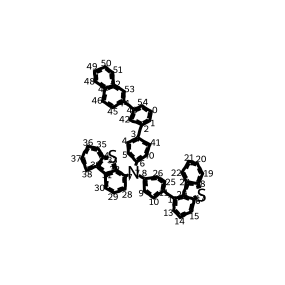 c1cc(-c2ccc(N(c3ccc(-c4cccc5sc6ccccc6c45)cc3)c3cccc4c3sc3ccccc34)cc2)cc(-c2ccc3ccccc3c2)c1